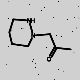 CC(=O)CN1CCCCN1